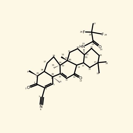 C[C@@H]1C(=O)C(C#N)=C[C@]2(C)C3=CC(=O)C4C5CC(C)(C)CC[C@]5(NC(=O)C(C)(F)F)CC[C@@]4(C)[C@]3(C)CCC12